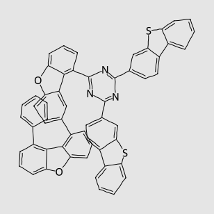 c1ccc(-c2cccc3oc4cccc(-c5ccc6oc7cccc(-c8nc(-c9ccc%10c(c9)sc9ccccc9%10)nc(-c9ccc%10c(c9)sc9ccccc9%10)n8)c7c6c5)c4c23)cc1